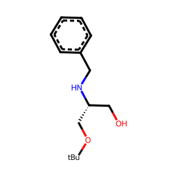 CC(C)(C)OC[C@@H](CO)NCc1ccccc1